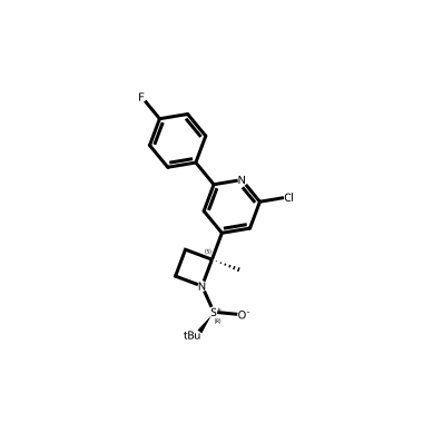 CC(C)(C)[S@+]([O-])N1CC[C@@]1(C)c1cc(Cl)nc(-c2ccc(F)cc2)c1